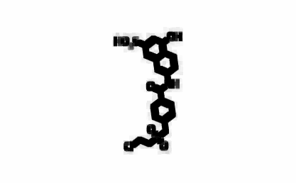 O=C(Nc1ccc2c(O)cc(S(=O)(=O)O)cc2c1)c1ccc(CS(=O)(=O)CCCl)cc1